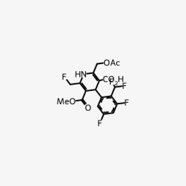 COC(=O)C1=C(CF)NC(COC(C)=O)=C(C(=O)O)C1c1cc(F)cc(F)c1C(F)F